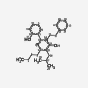 CCCCc1nc(-c2ccccc2O)n(CCc2ccccc2)c(=O)c1CC(C)C